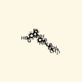 CC(C)(C)OC(=O)CCNC(=O)c1cccc(Nc2nc3cc(C(=O)O)ccc3c3sccc23)c1